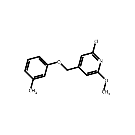 COc1cc(COc2cccc(C)c2)cc(Cl)n1